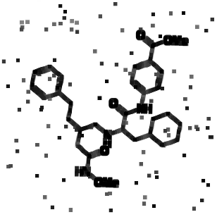 CONC(=O)CC(CCc1ccccc1)CNC(CC1CCCCC1)C(=O)Nc1ccc(C(=O)OC)cc1